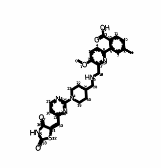 COc1ccc(-c2cc(C)ccc2C(=O)O)nc1CNCC1CCN(c2nccc(C=C3SC(=O)NC3=O)n2)CC1